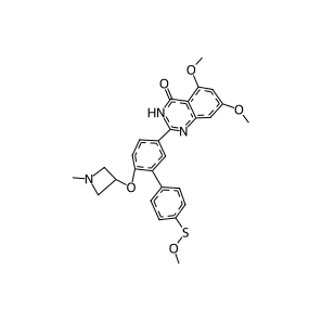 COSc1ccc(-c2cc(-c3nc4cc(OC)cc(OC)c4c(=O)[nH]3)ccc2OC2CN(C)C2)cc1